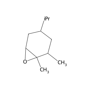 [CH2]C(C)C1CC(C)C2(C)OC2C1